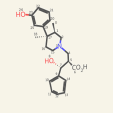 C[C@H]1CN(C[C@@H](C(=O)O)[C@@H](O)c2ccccc2)CC[C@@]1(C)c1cccc(O)c1